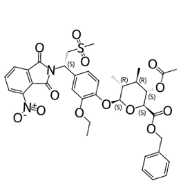 CCOc1cc([C@@H](CS(C)(=O)=O)N2C(=O)c3cccc([N+](=O)[O-])c3C2=O)ccc1O[C@@H]1O[C@H](C(=O)OCc2ccccc2)[C@@H](OC(C)=O)[C@H](C)[C@H]1C